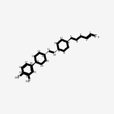 FC=CCCC[C@H]1CC[C@H](CC[C@H]2CC[C@H](c3ccc(F)c(F)c3)CC2)CC1